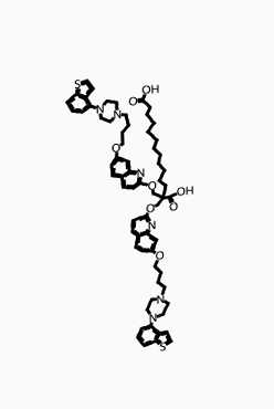 O=C(O)CCCCCCCCCCCC(COc1ccc2ccc(OCCCCN3CCN(c4cccc5sccc45)CC3)cc2n1)(COc1ccc2ccc(OCCCCN3CCN(c4cccc5sccc45)CC3)cc2n1)C(=O)O